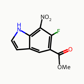 COC(=O)c1cc2cc[nH]c2c([N+](=O)[O-])c1F